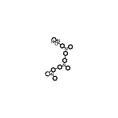 C1=CC2c3ccc(-c4ccc(N(c5ccccc5)c5ccc(-c6ccc(N(c7ccccc7)c7ccc(-c8nc9cccnc9o8)cc7)cc6)cc5)cc4)cc3N(c3ccccc3)C2C=C1